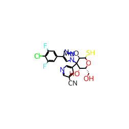 CO[C@H]1[C@@H](S)O[C@H](CO)[C@H](O)C1(c1cncc(C#N)c1)n1cc(-c2cc(F)c(Cl)c(F)c2)nn1